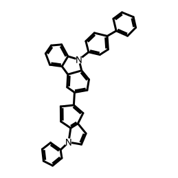 c1ccc(-c2ccc(-n3c4ccccc4c4cc(-c5ccc6c(ccn6-c6ccccc6)c5)ccc43)cc2)cc1